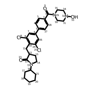 O=C(c1ccc(-c2cc(Cl)c(CC3CCN(C4CCCCC4)C3=O)c(Cl)c2)cc1)N1CCN(O)CC1